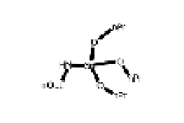 CCCCCCCCN[Si](OCCC)(OCCC)OCCC